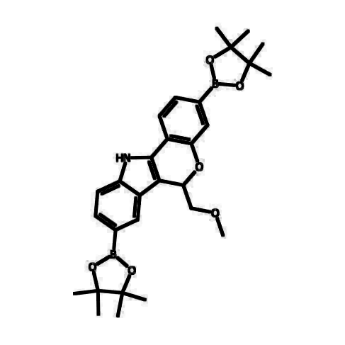 COCC1Oc2cc(B3OC(C)(C)C(C)(C)O3)ccc2-c2[nH]c3ccc(B4OC(C)(C)C(C)(C)O4)cc3c21